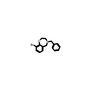 Brc1cccc2c1OCCN(Cc1ccccc1)C2